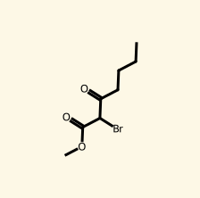 CCCCC(=O)C(Br)C(=O)OC